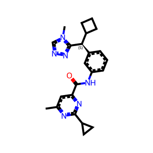 Cc1cc(C(=O)Nc2cccc([C@@H](c3nncn3C)C3CCC3)c2)nc(C2CC2)n1